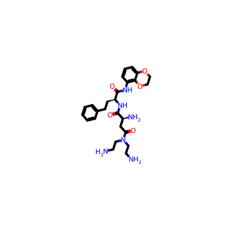 NCCN(CCN)C(=O)C[C@H](N)C(=O)N[C@@H](CCc1ccccc1)C(=O)Nc1cccc2c1OCCO2